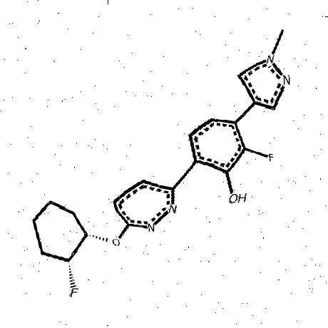 Cn1cc(-c2ccc(-c3ccc(O[C@H]4CCCC[C@H]4F)nn3)c(O)c2F)cn1